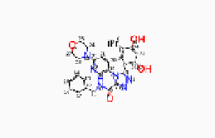 CC(C)c1cc(-c2nnc(C(=O)NCc3ccccc3)n2-c2ccc(N3CCOCC3)nc2)c(O)cc1O